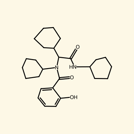 O=C(NC1CCCCC1)C(C1CCCCC1)N(C(=O)c1ccccc1O)C1CCCCC1